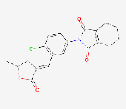 CC1CC(=Cc2cc(N3C(=O)C4=C(CCCC4)C3=O)ccc2Cl)C(=O)O1